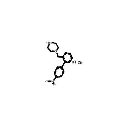 Cl.Cl.O=[N+]([O-])c1ccc(-c2ccccc2CN2CCNCC2)cc1